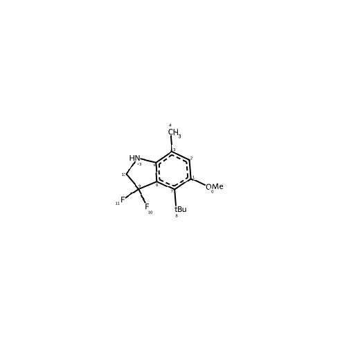 COc1cc(C)c2c(c1C(C)(C)C)C(F)(F)CN2